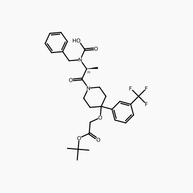 C[C@@H](C(=O)N1CCC(OCC(=O)OC(C)(C)C)(c2cccc(C(F)(F)F)c2)CC1)N(Cc1ccccc1)C(=O)O